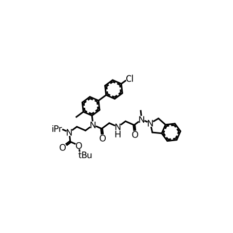 Cc1ccc(-c2ccc(Cl)cc2)cc1N(CCN(C(=O)OC(C)(C)C)C(C)C)C(=O)CNCC(=O)N(C)N1Cc2ccccc2C1